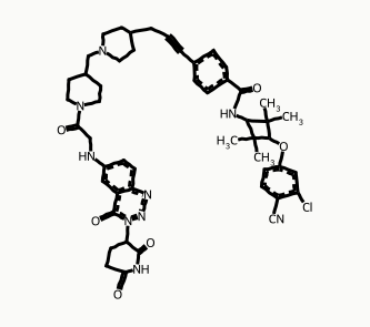 CC1(C)C(NC(=O)c2ccc(C#CCC3CCN(CC4CCN(C(=O)CNc5ccc6nnn(C7CCC(=O)NC7=O)c(=O)c6c5)CC4)CC3)cc2)C(C)(C)C1Oc1ccc(C#N)c(Cl)c1